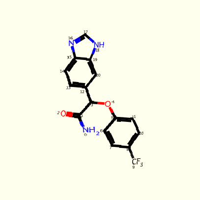 NC(=O)C(Oc1ccc(C(F)(F)F)cc1)c1ccc2nc[nH]c2c1